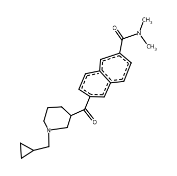 CN(C)C(=O)c1ccc2cc(C(=O)C3CCCN(CC4CC4)C3)ccc2c1